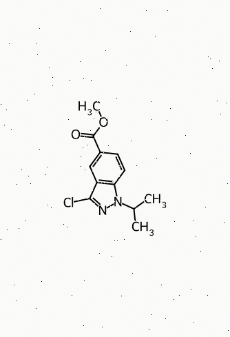 COC(=O)c1ccc2c(c1)c(Cl)nn2C(C)C